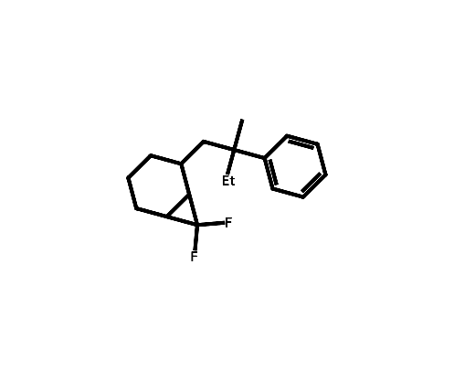 CCC(C)(CC1CCCC2C1C2(F)F)c1ccccc1